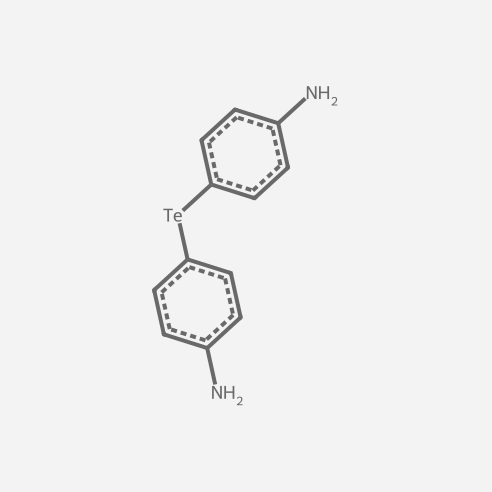 Nc1ccc([Te]c2ccc(N)cc2)cc1